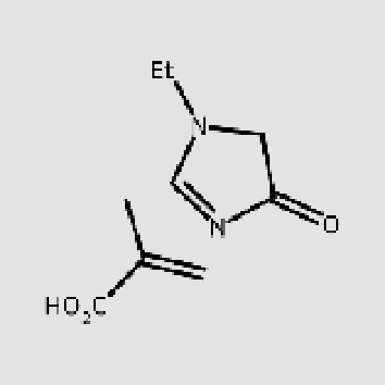 C=C(C)C(=O)O.CCN1C=NC(=O)C1